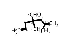 C=CCC(C)(C=O)CC(=C)C